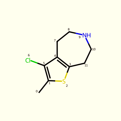 Cc1sc2c(c1Cl)CCNCC2